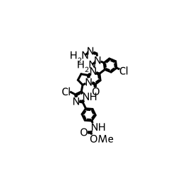 COC(=O)Nc1ccc(-c2nc(Cl)c(C3CCc4nc(-c5cc(Cl)ccc5N(N)/C=N\N)cc(=O)n43)[nH]2)cc1